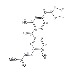 COC(=O)/C=C/c1cc(C(=O)c2ccc(OC3CCCC3)cc2O)ccc1O